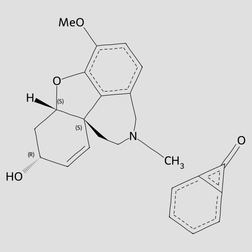 COc1ccc2c3c1O[C@H]1C[C@@H](O)C=C[C@@]31CCN(C)C2.O=c1c2ccccc12